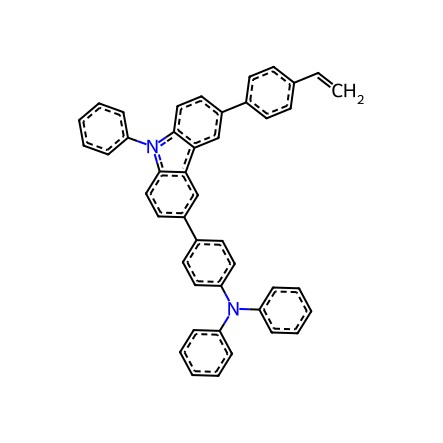 C=Cc1ccc(-c2ccc3c(c2)c2cc(-c4ccc(N(c5ccccc5)c5ccccc5)cc4)ccc2n3-c2ccccc2)cc1